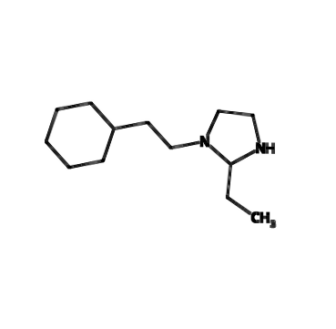 CCC1NCCN1CCC1CCCCC1